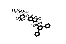 CO[C@@H]1[C@@H](OC(N)=O)[C@@H](O)[C@H](Oc2ccc3c(O)c(NC(=O)c4cc(-c5ccccc5)cc(-c5ccccc5)c4)c(=O)oc3c2C)OC1(C)C